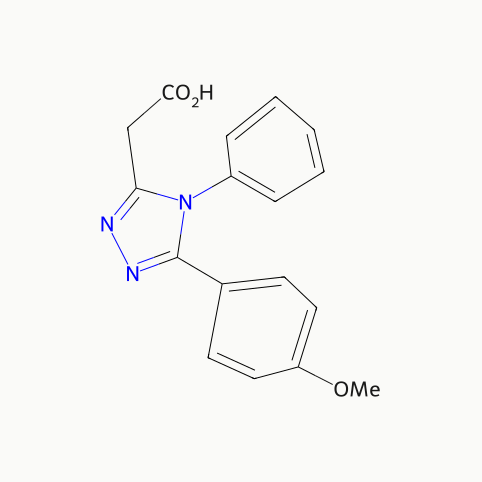 COc1ccc(-c2nnc(CC(=O)O)n2-c2ccccc2)cc1